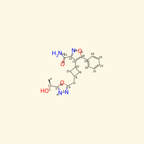 C[C@H](O)c1nnc(CC2CC(c3c(C(N)=O)noc3-c3ccccc3)C2)o1